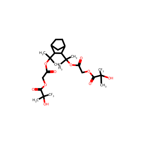 CC(C)(OC(=O)COC(=O)C(C)(O)C(F)(F)F)C1C2CCC(C2)C1C(C)(C)OC(=O)COC(=O)C(C)(O)C(F)(F)F